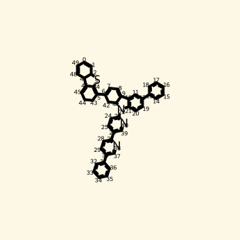 C1=CC2SC3=C(C4=CC=C5c6cc(-c7ccccc7)ccc6N(c6ccc(-c7ccc(-c8ccccc8)cn7)cn6)C5C4)CCC=C3C2C=C1